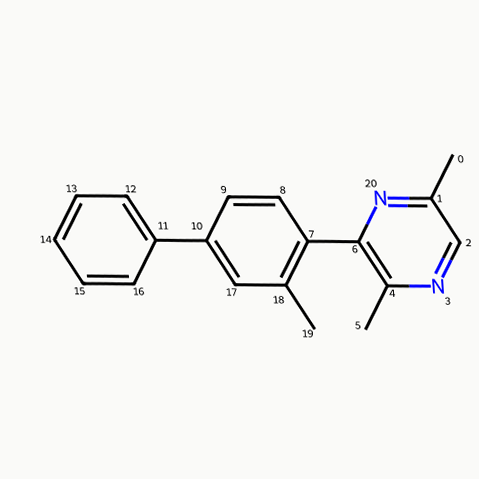 Cc1cnc(C)c(-c2ccc(-c3ccccc3)cc2C)n1